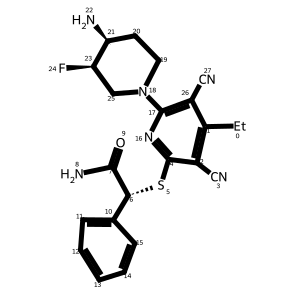 CCc1c(C#N)c(S[C@@H](C(N)=O)c2ccccc2)nc(N2CC[C@H](N)[C@H](F)C2)c1C#N